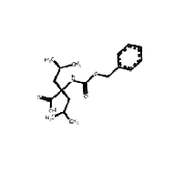 CC(C)CC(CC(C)C)(NC(=O)OCc1ccccc1)C(=O)O